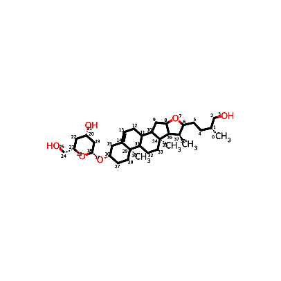 C[C@@H](CO)CCC1OC2CC3C4CC=C5C[C@@H](O[C@H]6C[C@@H](O)C[C@@H](CO)O6)CC[C@]5(C)C4CC[C@]3(C)C2[C@@H]1C